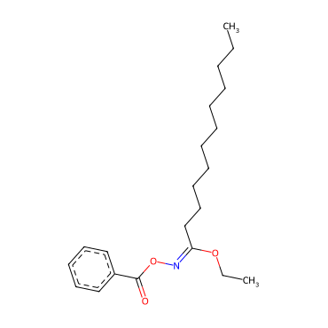 CCCCCCCCCCC/C(=N\OC(=O)c1ccccc1)OCC